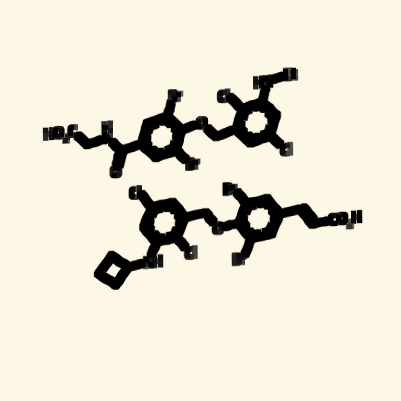 CCNc1cc(Cl)cc(COc2c(Br)cc(C(=O)NCC(=O)O)cc2Br)c1Cl.O=C(O)C=Cc1cc(Br)c(OCc2cc(Cl)cc(NC3CCC3)c2Cl)c(Br)c1